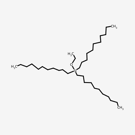 CCCCCCCCCCC[Si](CCCCCCCCCCC)(CCCCCCCCCCC)OCC